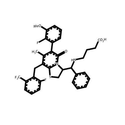 COc1cccc(-c2c(C)c(Cc3c(F)cccc3C(F)(F)F)c3n(c2=O)C(C(NCCCC(=O)O)c2ccccc2)CS3)c1F